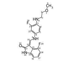 COCCNc1ccc(N/C=C2/C(=O)Nc3cccc(F)c32)cc1F